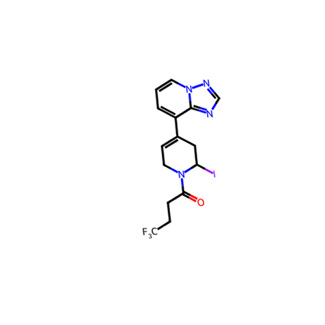 O=C(CCC(F)(F)F)N1CC=C(c2cccn3ncnc23)CC1I